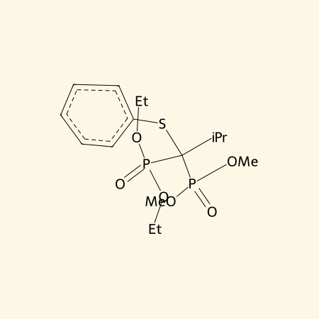 CCOP(=O)(OCC)C(Sc1ccccc1)(C(C)C)P(=O)(OC)OC